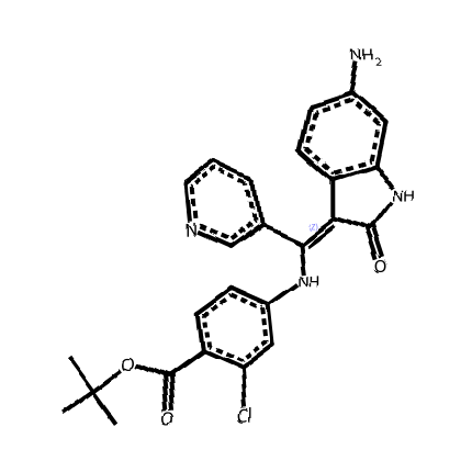 CC(C)(C)OC(=O)c1ccc(N/C(=C2\C(=O)Nc3cc(N)ccc32)c2cccnc2)cc1Cl